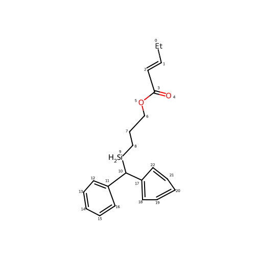 CCC=CC(=O)OCCC[SiH2]C(c1ccccc1)c1ccccc1